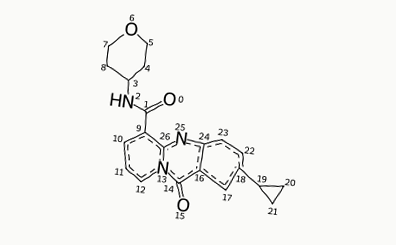 O=C(NC1CCOCC1)c1cccn2c(=O)c3cc(C4CC4)ccc3nc12